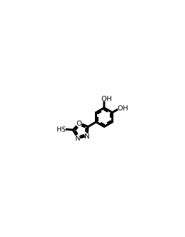 Oc1ccc(-c2nnc(S)o2)cc1O